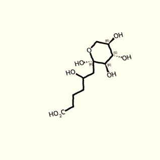 O=C(O)CCCC(O)C[C@@]1(O)OC[C@@H](O)[C@H](O)[C@H]1O